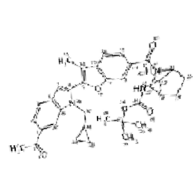 CC(=O)c1ccc2cc(-c3oc4cc(C(=O)N5CC6CCC5[C@@H]6NC(=O)OC(C)(C)C)ccc4c3C)n(CC3CC3)c2c1